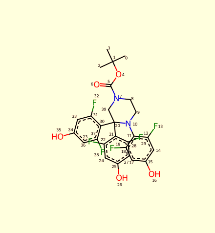 CC(C)(C)OC(=O)N1CCN(c2c(F)cc(O)cc2F)C(c2c(F)cc(O)cc2F)(c2c(F)cc(O)cc2F)C1